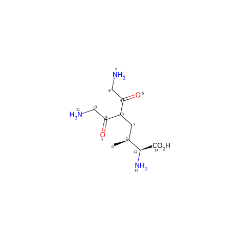 C[C@@H](CC(C(=O)CN)C(=O)CN)[C@H](N)C(=O)O